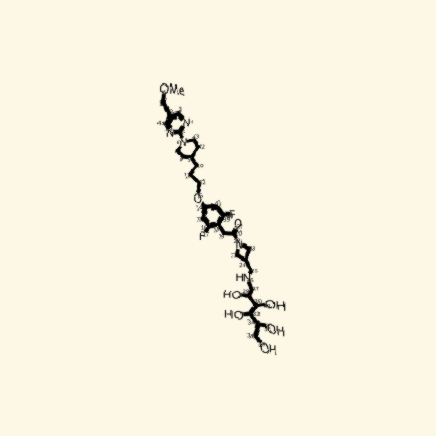 COCc1cnc(N2CCC(CCCOc3cc(F)c(CC(=O)N4CC(CNCC(O)C(O)C(O)C(O)CO)C4)c(F)c3)CC2)nc1